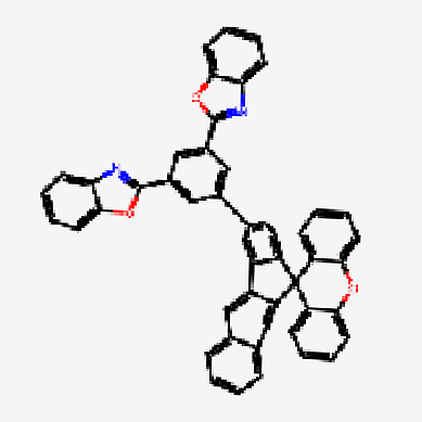 c1ccc2c(c1)Oc1ccccc1C21c2ccc(-c3cc(-c4nc5ccccc5o4)cc(-c4nc5ccccc5o4)c3)cc2-c2cc3ccccc3cc21